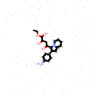 CCOC(=O)C(=O)CC(=O)c1c(-c2ccc(N)cc2)cc2ccccn12